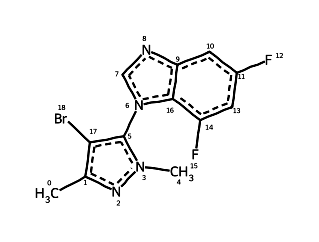 Cc1nn(C)c(-n2cnc3cc(F)cc(F)c32)c1Br